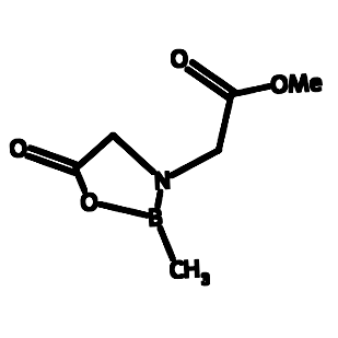 COC(=O)CN1CC(=O)OB1C